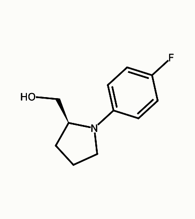 OC[C@@H]1CCCN1c1ccc(F)cc1